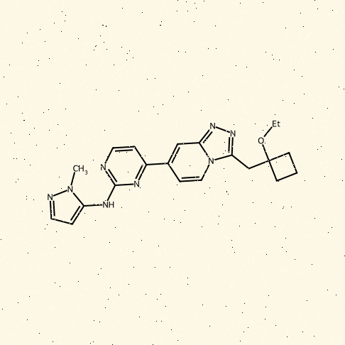 CCOC1(Cc2nnc3cc(-c4ccnc(Nc5ccnn5C)n4)ccn23)CCC1